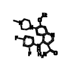 CCOc1cc2ncc(C(N)=O)c(Nc3ccc(F)cc3F)c2cc1N1CCN(C)CC1